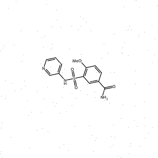 COc1ccc(C(N)=O)cc1S(=O)(=O)Nc1cccnc1